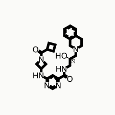 O=C(NC[C@H](O)CN1CCc2ccccc2C1)c1cc(NC2CN(C(=O)C3CCC3)C2)ncn1